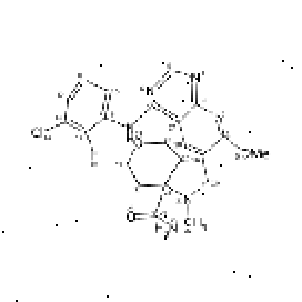 COc1cc2ncnc(Nc3cccc(Cl)c3F)c2cc1CN(C)C1(C(N)=O)CCOCC1